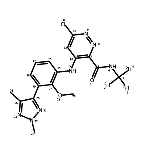 [2H]C([2H])([2H])NC(=O)c1nnc(Cl)cc1Nc1cccc(-c2nn(C)nc2C)c1OC